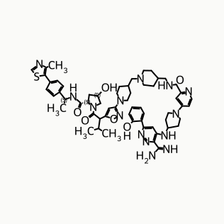 Cc1ncsc1-c1ccc([C@H](C)NC(=O)[C@@H]2C[C@@H](O)CN2C(=O)C(c2cc(N3CCC(CN4CCC(CNC(=O)c5cc(N6CCC(Nc7cc(-c8ccccc8O)nnc7C(=N)N)CC6)ccn5)CC4)CC3)no2)C(C)C)cc1